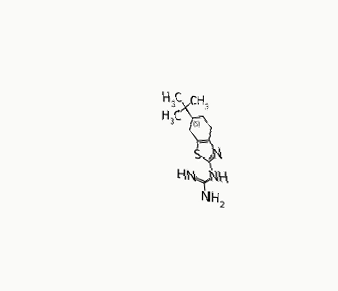 CC(C)(C)[C@H]1CCc2nc(NC(=N)N)sc2C1